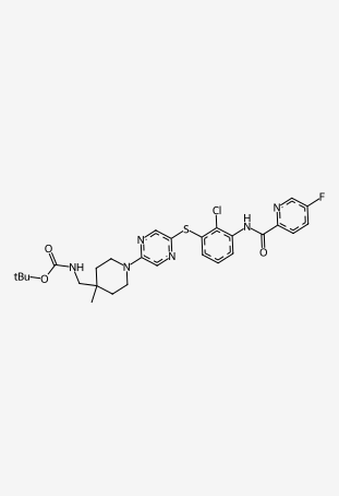 CC1(CNC(=O)OC(C)(C)C)CCN(c2cnc(Sc3cccc(NC(=O)c4ccc(F)cn4)c3Cl)cn2)CC1